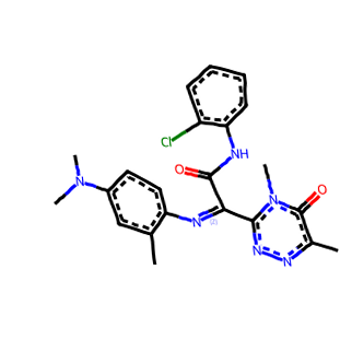 Cc1cc(N(C)C)ccc1/N=C(\C(=O)Nc1ccccc1Cl)c1nnc(C)c(=O)n1C